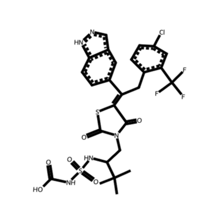 CC(C)(C)C(CN1C(=O)S/C(=C(/Cc2ccc(Cl)cc2C(F)(F)F)c2ccc3[nH]ncc3c2)C1=O)NS(=O)(=O)NC(=O)O